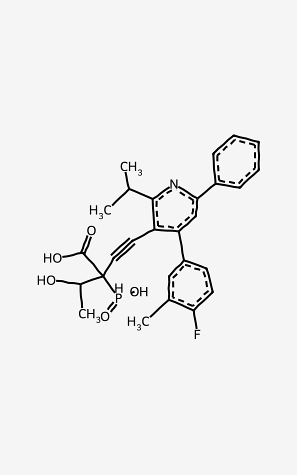 Cc1cc(-c2cc(-c3ccccc3)nc(C(C)C)c2C#CC(C(=O)O)(C(C)O)[PH](=O)O)ccc1F